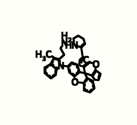 Cc1c(CCN)n(-c2ccc3c(c2)Oc2ccccc2C32C3=C(C=CCC3)Oc3cc(C4=CCCCN4)ccc32)c2ccccc12